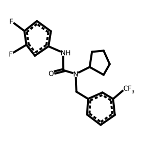 O=C(Nc1ccc(F)c(F)c1)N(Cc1cccc(C(F)(F)F)c1)C1CCCC1